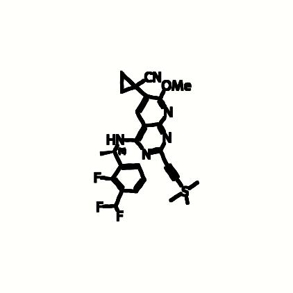 COc1nc2nc(C#CS(C)(C)C)nc(N[C@H](C)c3cccc(C(F)F)c3F)c2cc1C1(C#N)CC1